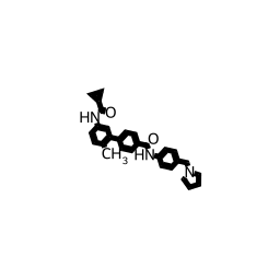 Cc1ccc(NC(=O)C2CC2)cc1-c1ccc(C(=O)Nc2ccc(CN3CCCC3)cc2)cc1